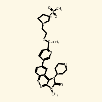 C[C@@H](OCCN1CC[C@@H](S(C)(=O)=O)C1)c1ccc(-c2ccc3nnc4c(c3c2)n(C2CCOCC2)c(=O)n4C)cn1